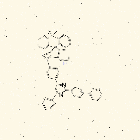 C/C=C\C1=C(C)C2(c3ccccc3C(C)(C)c3ccccc32)c2cccc(-c3ccc(-c4cc(-c5ccccc5)nc(-c5ccc(-c6ccccc6)cc5)n4)cc3)c21